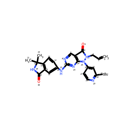 C=CCn1c(=O)c2cnc(Nc3ccc4c(c3)C(=O)NC4(C)C)nc2n1-c1ccnc(C(C)(C)C)c1